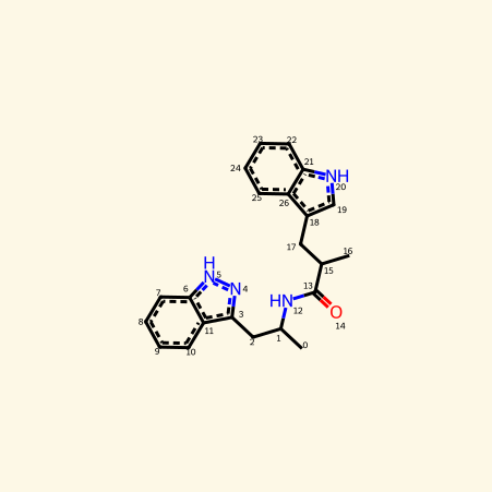 CC(Cc1n[nH]c2ccccc12)NC(=O)C(C)Cc1c[nH]c2ccccc12